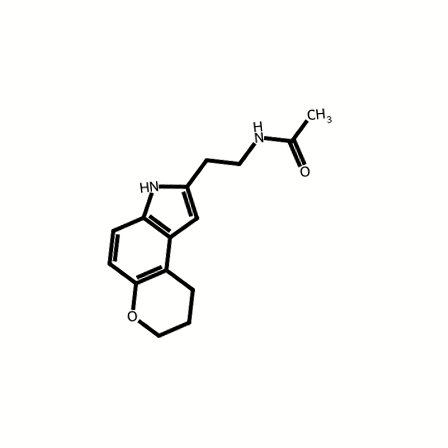 CC(=O)NCCc1cc2c3c(ccc2[nH]1)OCCC3